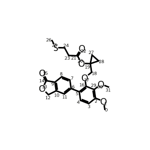 COc1ccc(-c2ccc3c(c2)COC3=O)c(OCC2(OC(=O)CCSC)CC2)c1OC